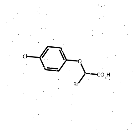 O=C(O)C(Br)Oc1ccc(Cl)cc1